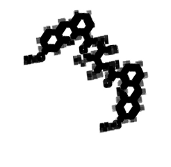 CCC(NC(=O)c1cccc2cc3ccc(OC)cc3nc12)C(N)C(CC)NC(=O)c1cccc2cc3ccc(OC)cc3nc12